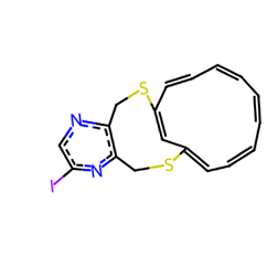 Ic1cnc2c(n1)CSC1=C\C=C/C=C\C=C/C=C/C(=C\1)SC2